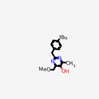 COCc1nc(Cc2ccc(C(C)(C)C)cc2)nc(C)c1O